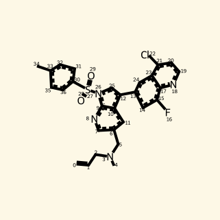 C=CCN(C)Cc1cnc2c(c1)c(-c1cc(F)c3nccc(Cl)c3c1)cn2S(=O)(=O)c1ccc(C)cc1